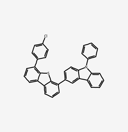 Clc1ccc(-c2cccc3c2sc2c(-c4ccc5c(c4)c4ccccc4n5-c4ccccc4)cccc23)cc1